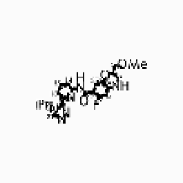 COCC1CNc2cc(F)c(C(=O)Nc3cccc(-c4nncn4C(C)C)n3)cc2O1